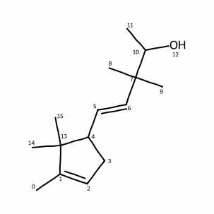 CC1=CCC(/C=C/C(C)(C)C(C)O)C1(C)C